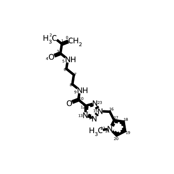 C=C(C)C(=O)NCCCNC(=O)c1nnn(Cc2cccn2C)n1